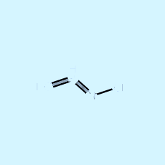 C=[PH]=NC